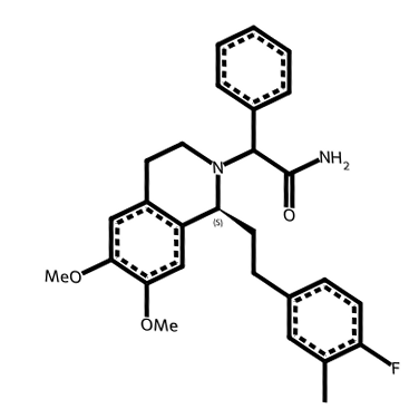 COc1cc2c(cc1OC)[C@H](CCc1ccc(F)c(C)c1)N(C(C(N)=O)c1ccccc1)CC2